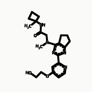 CN(CC(=O)NC1(C)CCC1)c1nc(-c2cc(OCCO)ccn2)nc2c1CCC2